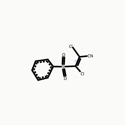 N#C/C(Cl)=C(\Cl)S(=O)(=O)c1ccccc1